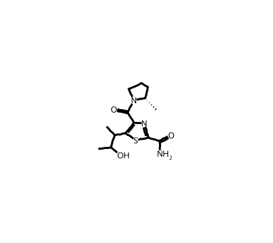 CC(O)C(C)c1sc(C(N)=O)nc1C(=O)N1CCC[C@@H]1C